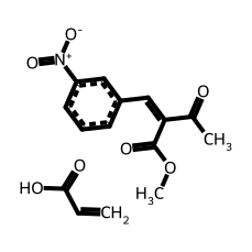 C=CC(=O)O.COC(=O)C(=Cc1cccc([N+](=O)[O-])c1)C(C)=O